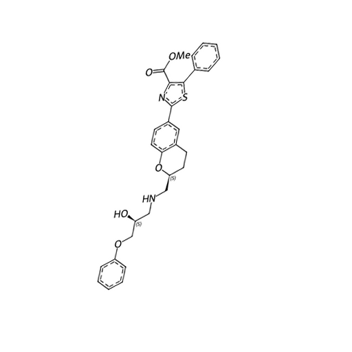 COC(=O)c1nc(-c2ccc3c(c2)CC[C@@H](CNC[C@H](O)COc2ccccc2)O3)sc1-c1ccccc1